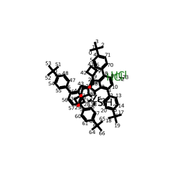 CC(C)(C)c1ccc(-c2ccc(-c3ccc(C(C)(C)C)cc3)c3c2C=C(CC2CCC2)[CH]3[Zr]([CH3])([CH3])(=[SiH2])[CH]2C(CC3CCC3)=Cc3c(-c4ccc(C(C)(C)C)cc4)ccc(-c4ccc(C(C)(C)C)cc4)c32)cc1.Cl.Cl